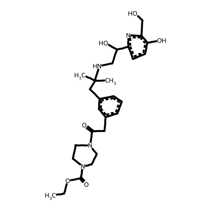 CCOC(=O)N1CCN(C(=O)Cc2cccc(CC(C)(C)NCC(O)c3ccc(O)c(CO)n3)c2)CC1